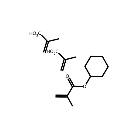 C=C(C)C(=O)O.C=C(C)C(=O)O.C=C(C)C(=O)OC1CCCCC1